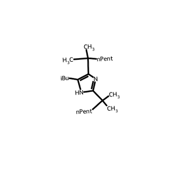 CCCCCC(C)(C)c1nc(C(C)(C)CCCCC)c(C(C)CC)[nH]1